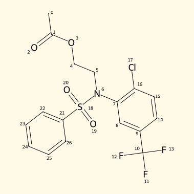 CC(=O)OCCN(c1cc(C(F)(F)F)ccc1Cl)S(=O)(=O)c1ccccc1